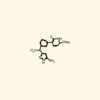 COC1C=CC(c2cccc(C(C)c3cc(N)[nH]n3)c2)=C(F)N1